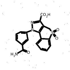 NC(=O)c1cccc(-n2nc(C(=O)O)c3c2-c2ccccc2S(=O)(=O)C3)c1